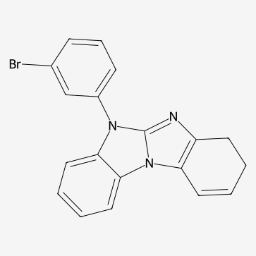 Brc1cccc(-n2c3ccccc3n3c4c(nc23)CCC=C4)c1